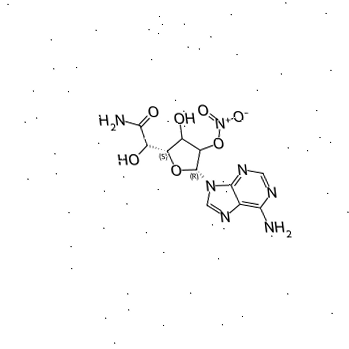 NC(=O)C(O)[C@H]1O[C@@H](n2cnc3c(N)ncnc32)C(O[N+](=O)[O-])C1O